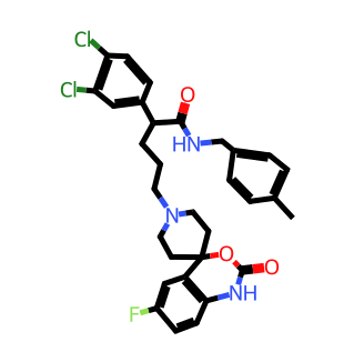 Cc1ccc(CNC(=O)C(CCCN2CCC3(CC2)OC(=O)Nc2ccc(F)cc23)c2ccc(Cl)c(Cl)c2)cc1